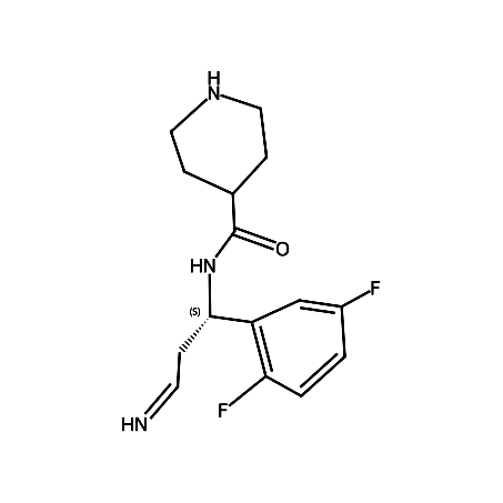 N=CC[C@H](NC(=O)C1CCNCC1)c1cc(F)ccc1F